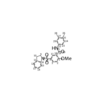 COc1ccc(S(=O)(=O)N2CCc3ccccc32)cc1C(=O)Nc1ccc(C)c(C)c1